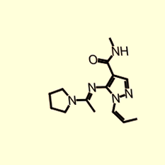 C/C=C\n1ncc(C(=O)NC)c1/N=C(\C)N1CCCC1